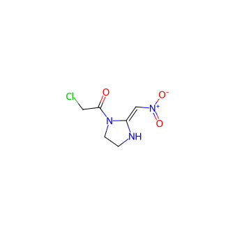 O=C(CCl)N1CCNC1=C[N+](=O)[O-]